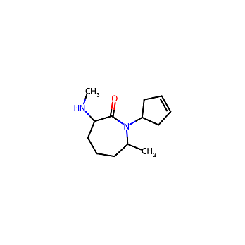 CNC1CCCC(C)N(C2CC=CC2)C1=O